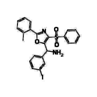 Cc1ccccc1-c1nc(S(=O)(=O)c2ccccc2)c(C(N)c2cccc(I)c2)o1